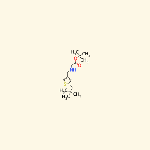 CC(C)(C)Cc1cc(CNCC(=O)OC(C)(C)C)cs1